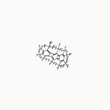 FC(F)(F)c1c(C(F)(F)F)c(C(F)(F)F)c2c(c1C(F)(F)F)c1c(C(F)(F)F)c3c4c(C(F)(F)F)c(C(F)(F)F)c(C(F)(F)F)c(C(F)(F)F)c4c3c(C(F)(F)F)c21